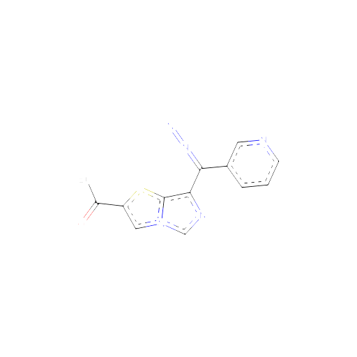 CCC(=O)c1cn2cnc(C(=[N+]=[N-])c3cccnc3)c2s1